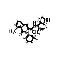 Cc1cccc2cc(C(C)Nc3ncnc4[nH]cnc34)n(-c3cccc(F)c3)c(=O)c12